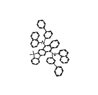 CC1(C)c2ccccc2-c2cc3c(N(c4cccc(-c5ccccc5)c4)c4cccc5ccccc45)c4ccccc4c(N(c4cccc(-c5ccccc5)c4)c4cccc5ccccc45)c3cc21